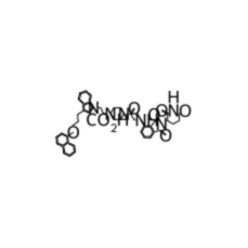 O=C1CCC(N2C(=O)c3cccc(NCC(=O)N4CCN(CCn5c(C(=O)O)c(CCCOc6cccc7ccccc67)c6ccccc65)CC4)c3C2=O)C(=O)N1